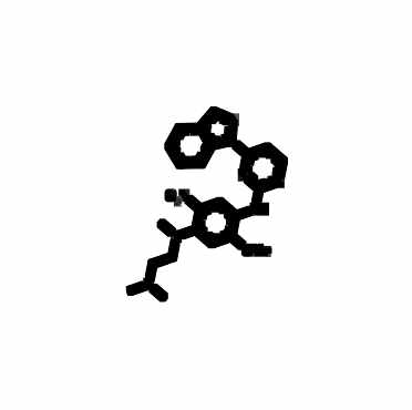 COc1cc(N(C)CCN(C)C)c([N+](=O)[O-])cc1Nc1nccc(-n2ncc3ccccc32)n1